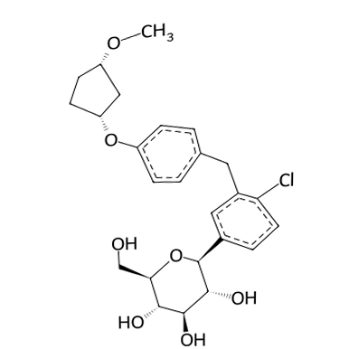 CO[C@H]1CC[C@@H](Oc2ccc(Cc3cc([C@@H]4O[C@H](CO)[C@@H](O)[C@H](O)[C@H]4O)ccc3Cl)cc2)C1